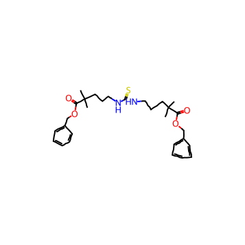 CC(C)(CCCNC(=S)NCCCC(C)(C)C(=O)OCc1ccccc1)C(=O)OCc1ccccc1